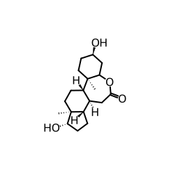 C[C@]12CC[C@H]3[C@@H](CC(=O)OC4C[C@H](O)CC[C@@]43C)[C@@H]1CC[C@@H]2O